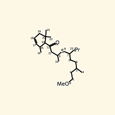 COCCC(C)CCC(SC(C)CC(=O)C1C(C)C=CCC1(C)C)C(C)C